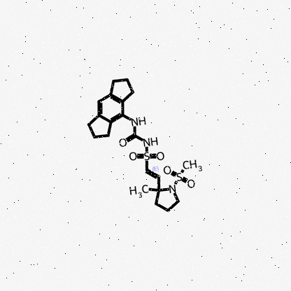 CC1(/C=C/S(=O)(=O)NC(=O)Nc2c3c(cc4c2CCC4)CCC3)CCCN1S(C)(=O)=O